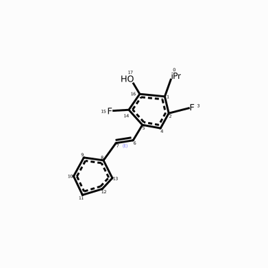 CC(C)c1c(F)cc(/C=C/c2ccccc2)c(F)c1O